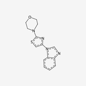 c1ccc2c(c1)ncn2-c1csc(N2CCOCC2)n1